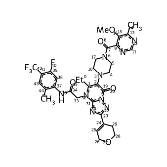 CCc1c(N2CCN(C(=O)c3ncnc(C)c3OC)CC2)c(=O)n2nc(C3=CCOCC3)nc2n1CC(=O)Nc1cc(F)c(C(F)(F)F)cc1C